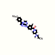 COc1ccc(-c2cnc3c(Nc4ccc(C(=O)N5CCC(N(C)CCC#N)CC5)c(C)c4)nccn23)cc1